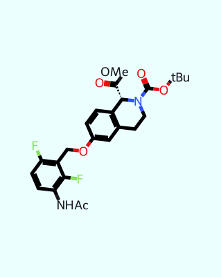 COC(=O)[C@H]1c2ccc(OCc3c(F)ccc(NC(C)=O)c3F)cc2CCN1C(=O)OC(C)(C)C